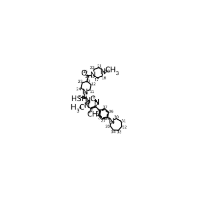 C=N/C(=C(/C)N(C)/N=C(\S)N1CCC(C(=O)N2CCN(C)CC2)CC1)c1ccc(N2CCCCCC2)cc1